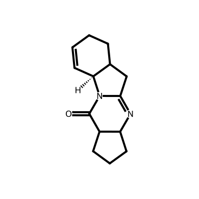 O=C1C2CCCC2N=C2CC3CCC=C[C@@H]3N12